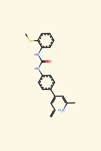 C=C/C=C(\C=C(\C)N)c1ccc(NC(=O)Nc2ccccc2SC)cc1